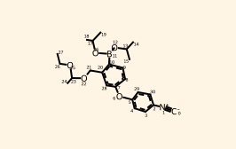 [C-]#[N+]c1ccc(Oc2ccc(B(OC(C)C)OC(C)C)c(COC(C)OCC)c2)cc1